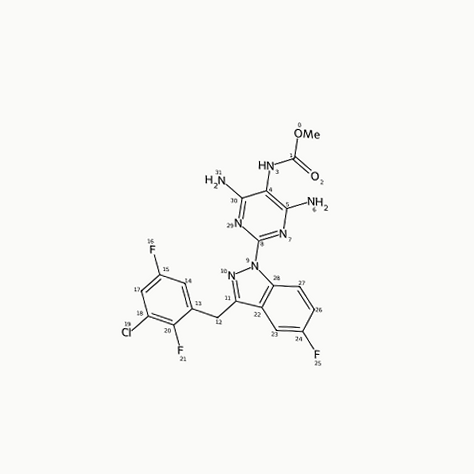 COC(=O)Nc1c(N)nc(-n2nc(Cc3cc(F)cc(Cl)c3F)c3cc(F)ccc32)nc1N